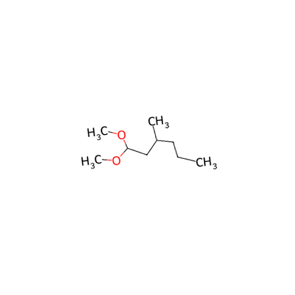 CCCC(C)CC(OC)OC